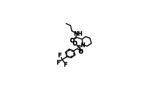 CCCNC(=O)C1CCCCN1S(=O)(=O)c1ccc(C(F)(F)F)cc1